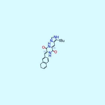 CC(C)(C)c1[nH]cnc1/C=c1\[nH]c(=O)/c(=C/c2ccc3c(c2)CCC=C3)[nH]c1=O